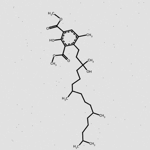 COC(=O)c1cc(C)c(CCC(C)(O)CCCC(C)CCCC(C)CCCC(C)C)c(C(=O)OC)c1O